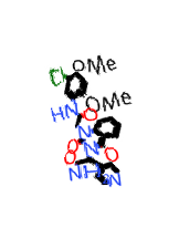 COc1cc(OC)c(NC(=O)Cn2c(=O)n(C(C(N)=O)c3ccncc3)c(=O)c3ccccc32)cc1Cl